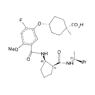 COc1cc(F)c(O[C@H]2CC[C@@](C)(C(=O)O)CC2)cc1C(=O)N[C@@H]1CCC[C@@H]1C(=O)N[C@@H](C)C(C)C